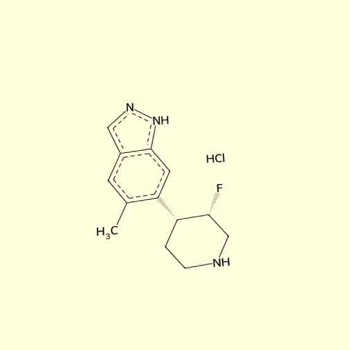 Cc1cc2cn[nH]c2cc1[C@H]1CCNC[C@H]1F.Cl